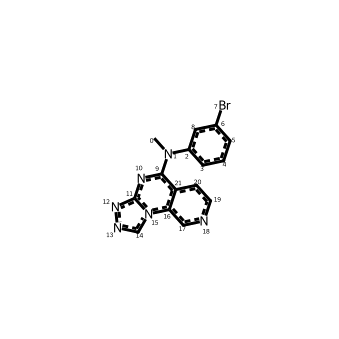 CN(c1cccc(Br)c1)c1nc2nncn2c2cnccc12